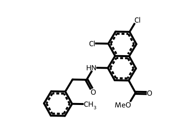 COC(=O)c1cc(NC(=O)Cc2ccccc2C)c2c(Cl)cc(Cl)cc2c1